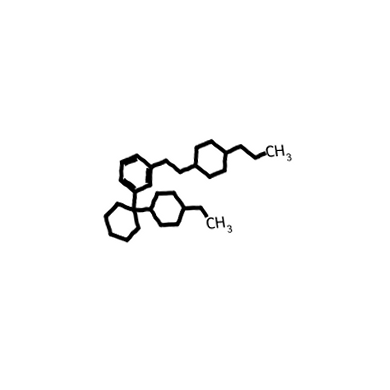 CCCC1CCC(CCc2cccc(C3(C4CCC(CC)CC4)CCCCC3)c2)CC1